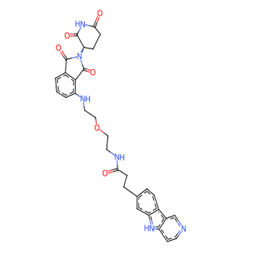 O=C(CCc1ccc2c(c1)[nH]c1ccncc12)NCCOCCNc1cccc2c1C(=O)N([C@@H]1CCC(=O)NC1=O)C2=O